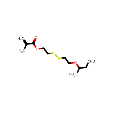 C=C(C)C(=O)OCCSSCCOC(CC=O)C(=O)O